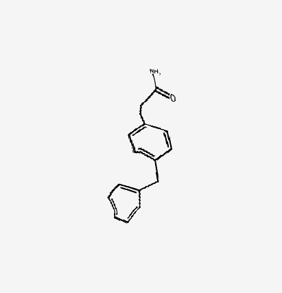 NC(=O)Cc1ccc(Cc2ccccc2)cc1